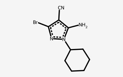 N#Cc1c(Br)nn(C2CCCCC2)c1N